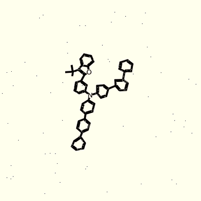 CC(C)(C)c1c(-c2cccc(N(c3ccc(-c4ccc(-c5ccccc5)cc4)cc3)c3ccc(-c4cccc(-c5ccccc5)c4)cc3)c2)oc2ccccc12